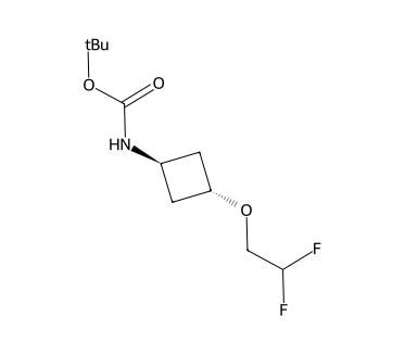 CC(C)(C)OC(=O)N[C@H]1C[C@H](OCC(F)F)C1